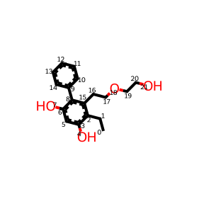 CCc1c(O)cc(O)c(-c2cc[c]cc2)c1CCOCCO